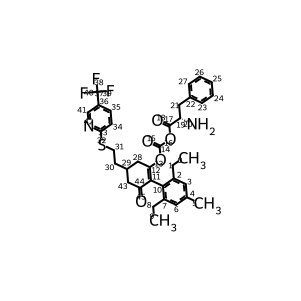 CCc1cc(C)cc(CC)c1C1=C(OC(=O)OC(=O)[C@@H](N)Cc2ccccc2)CC(CCSc2ccc(C(F)(F)F)cn2)CC1=O